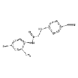 Cc1cc(F)ccc1NC(=O)CNc1ccc(C#N)cc1